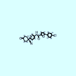 N#CC1(c2ccc(NC(=O)c3ccc(-c4ccc(Cl)cc4)o3)cn2)CCC(=O)CC1